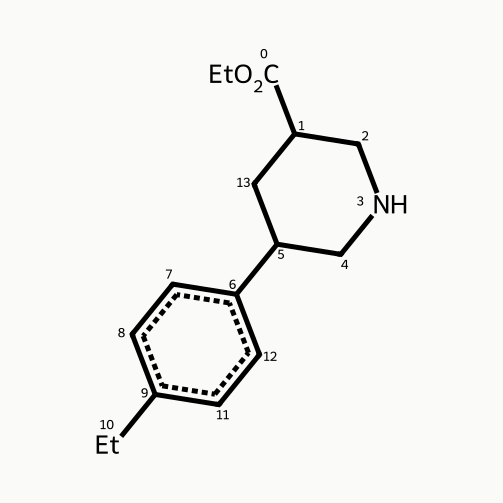 CCOC(=O)C1CNCC(c2ccc(CC)cc2)C1